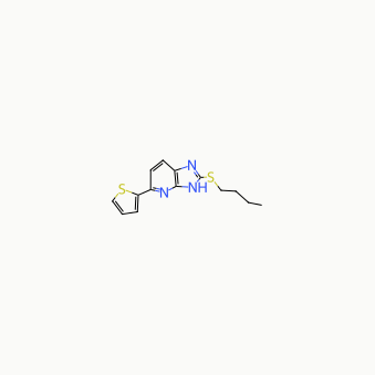 CCCCSc1nc2ccc(-c3cccs3)nc2[nH]1